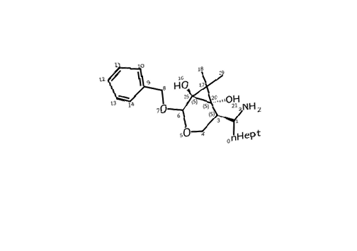 CCCCCCCC(N)[C@H]1COC(OCc2ccccc2)[C@]2(O)C(C)(C)[C@@]12O